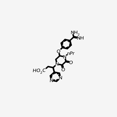 CCCN1C(=O)C(=O)N(C(CC(=O)O)c2cncnc2)CC1Oc1ccc(C(=N)N)cc1